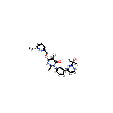 Cc1nc(OCc2cccc(C(F)(F)F)n2)c(Cl)c(=O)n1-c1cccc(-c2ccnc(C(C)(C)O)n2)c1